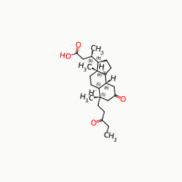 CCC(=O)CC[C@@]1(C)CC(=O)C[C@@H]2[C@@H]1CC[C@]1(C)[C@@H]([C@H](C)CC(=O)O)CC[C@@H]21